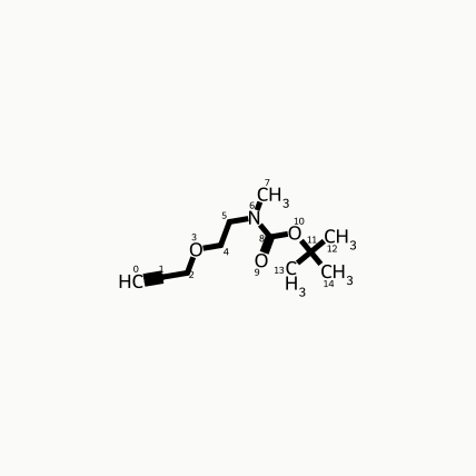 C#CCOCCN(C)C(=O)OC(C)(C)C